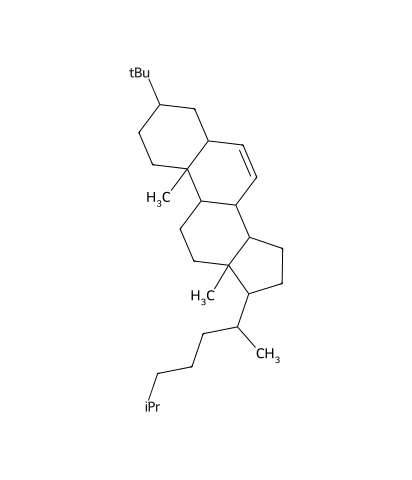 CC(C)CCCC(C)C1CCC2C3C=CC4CC(C(C)(C)C)CCC4(C)C3CCC12C